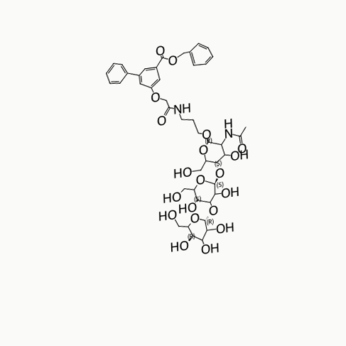 CC(=O)NC1C(O)[C@H](O[C@@H]2OC(CO)[C@H](O)C(O[C@H]3OC(CO)[C@H](O)C(O)C3O)C2O)C(CO)O[C@H]1OCCCNC(=O)COc1cc(C(=O)OCc2ccccc2)cc(-c2ccccc2)c1